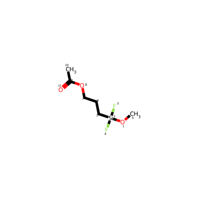 CO[Si](F)(F)CCCOC(C)=O